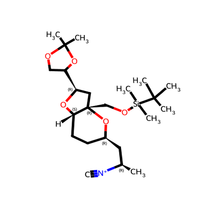 [C-]#[N+][C@H](C)C[C@H]1CC[C@@H]2O[C@@H](C3COC(C)(C)O3)C[C@]2(CO[Si](C)(C)C(C)(C)C)O1